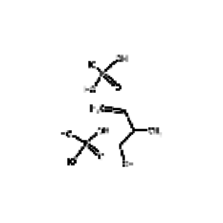 C=CC(C)CO.O=P(O)(O)O.O=P(O)(O)O